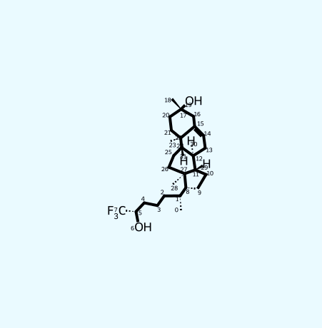 C[C@H](CCC[C@H](O)C(F)(F)F)[C@H]1CC[C@H]2[C@@H]3CC=C4C[C@@](C)(O)CC[C@]4(C)[C@H]3CC[C@]12C